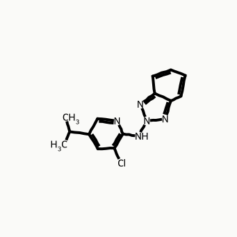 CC(C)c1cnc(Nn2nc3ccccc3n2)c(Cl)c1